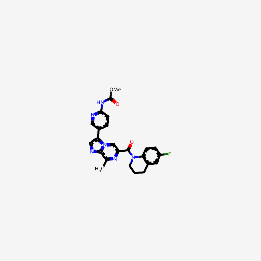 COC(=O)Nc1ccc(-c2cnc3c(C)nc(C(=O)N4CCCc5cc(F)ccc54)cn23)cn1